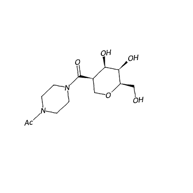 CC(=O)N1CCN(C(=O)[C@@H]2CO[C@H](CO)[C@H](O)[C@@H]2O)CC1